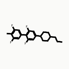 CCCC1CCC(c2cc(F)c(-c3cc(F)c(C)c(F)c3)c(F)c2)CC1